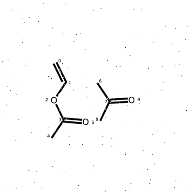 C=COC(C)=O.CC(C)=O